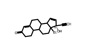 C#C[C@]1(O)C=CC2C3CCC4=CC(=O)CCC4C3CCC21CC